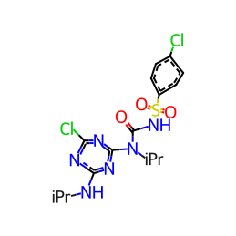 CC(C)Nc1nc(Cl)nc(N(C(=O)NS(=O)(=O)c2ccc(Cl)cc2)C(C)C)n1